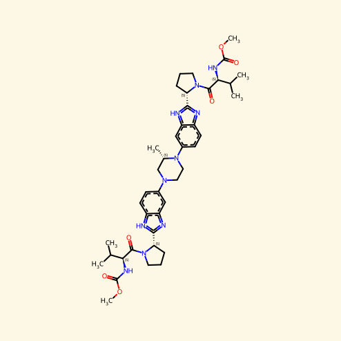 COC(=O)N[C@H](C(=O)N1CCC[C@H]1c1nc2cc(N3CCN(c4ccc5nc([C@@H]6CCCN6C(=O)[C@@H](NC(=O)OC)C(C)C)[nH]c5c4)[C@@H](C)C3)ccc2[nH]1)C(C)C